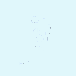 O=C(Nc1cc2c(cc1N1C[C@@H]3C[C@H]1CO3)C(=O)N([C@H]1CC[C@H](CO)CC1)C2)c1cccc(C(F)(F)F)n1